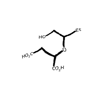 CCC(CO)OC(CC(=O)O)C(=O)O